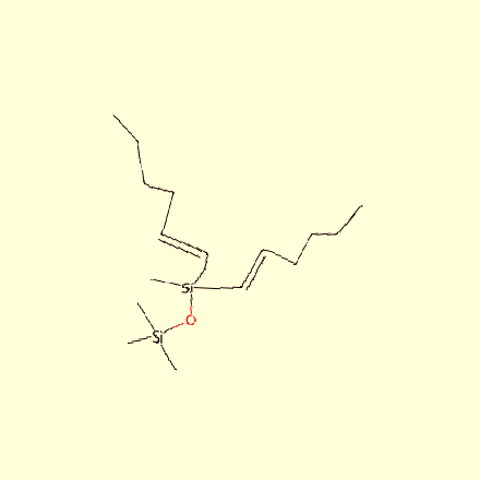 CCCCC=C[Si](C)(C=CCCCC)O[Si](C)(C)C